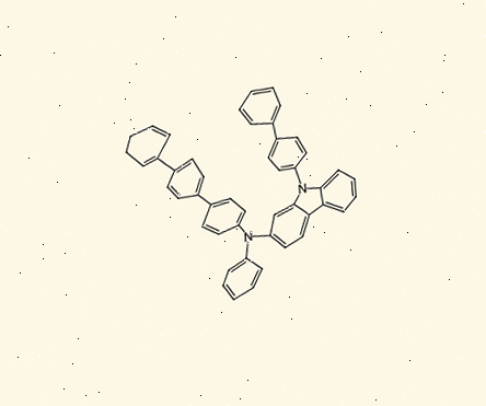 C1=CC(c2ccc(-c3ccc(N(c4ccccc4)c4ccc5c6ccccc6n(-c6ccc(-c7ccccc7)cc6)c5c4)cc3)cc2)=CCC1